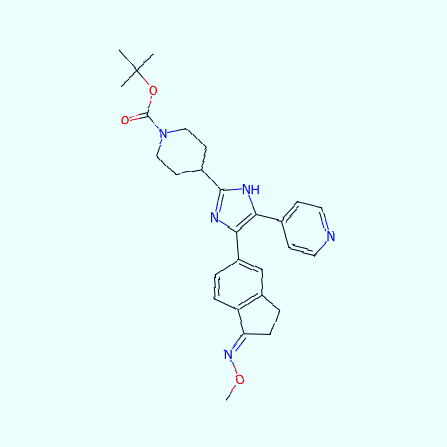 CON=C1CCc2cc(-c3nc(C4CCN(C(=O)OC(C)(C)C)CC4)[nH]c3-c3ccncc3)ccc21